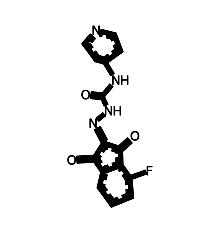 O=C(NN=c1c(=O)c2cccc(F)c2c1=O)Nc1ccncc1